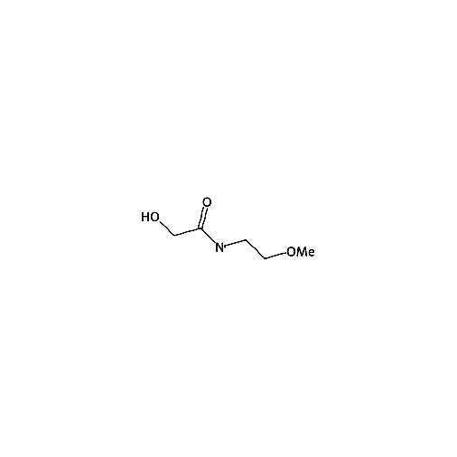 COCC[N]C(=O)CO